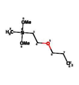 CO[Si](C)(CCOCCC(F)(F)F)OC